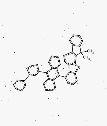 CC1(C)c2ccccc2-c2ccc3c(sc4cccc(-c5c6ccccc6c(-c6cccc(-c7ccccc7)c6)c6ccccc56)c43)c21